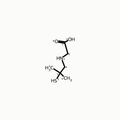 CC(C)(S)CNCC(=O)O